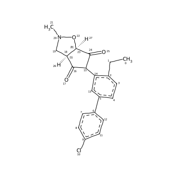 CCc1ccc(-c2ccc(Cl)cc2)cc1C1C(=O)[C@H]2CN(C)O[C@H]2C1=O